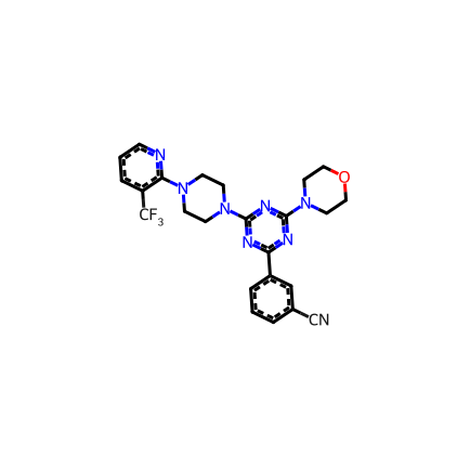 N#Cc1cccc(-c2nc(N3CCOCC3)nc(N3CCN(c4ncccc4C(F)(F)F)CC3)n2)c1